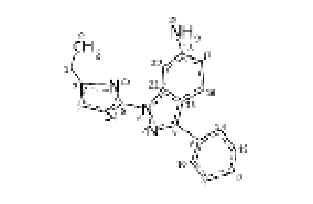 CCc1csc(-n2nc(-c3ccccc3)c3ccc(N)cc32)n1